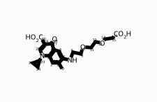 Cc1cc2c(cc1NCCOCCOCCC(=O)O)c(=O)c(C(=O)O)cn2C1CC1